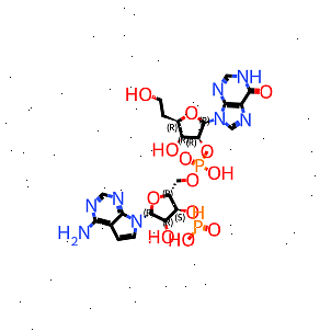 Nc1ncnc2c1ccn2[C@@H]1O[C@H](COP(=O)(O)O[C@@H]2[C@H](O)[C@@H](CCO)O[C@H]2n2cnc3c(=O)[nH]cnc32)[C@@H](O[PH](=O)O)[C@H]1O